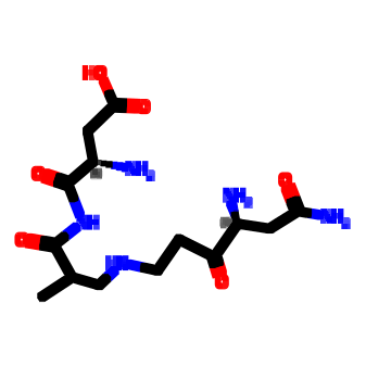 CC(CNCCC(=O)[C@@H](N)CC(N)=O)C(=O)NC(=O)[C@@H](N)CC(=O)O